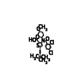 COC1CCC(N(C(=O)c2ccc(Cl)cc2Cl)c2cc(C#CC(C)(C)C)sc2C(=O)O)CC1